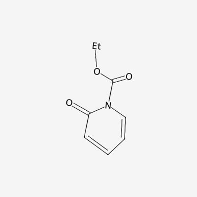 CCOC(=O)n1ccccc1=O